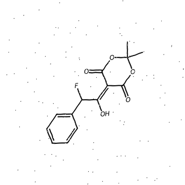 CC1(C)OC(=O)C(=C(O)C(F)c2ccccc2)C(=O)O1